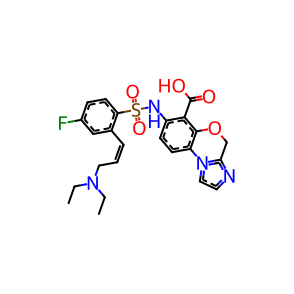 CCN(CC)C/C=C\c1cc(F)ccc1S(=O)(=O)Nc1ccc2c(c1C(=O)O)OCc1nccn1-2